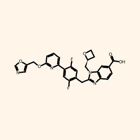 O=C(O)c1ccc2nc(Cc3cc(F)c(-c4cccc(OCc5cnco5)n4)cc3F)n(C[C@@H]3CCO3)c2c1